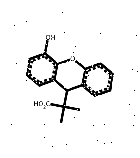 CC(C)(C(=O)O)C1c2ccccc2Oc2c(O)cccc21